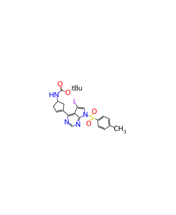 Cc1ccc(S(=O)(=O)n2cc(I)c3c(C4=CCC(NC(=O)OC(C)(C)C)C4)ncnc32)cc1